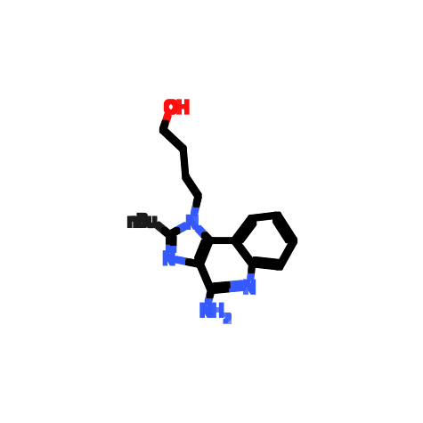 CCCCc1nc2c(N)nc3ccccc3c2n1CCCCO